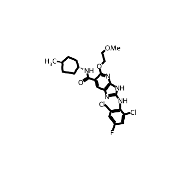 COCCOc1nc2[nH]c(Nc3c(Cl)cc(F)cc3Cl)nc2cc1C(=O)N[C@H]1CC[C@H](C)CC1